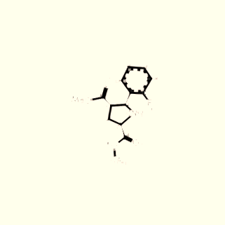 COC(=O)[C@@H]1C[C@H](C(=O)OC(C)(C)C)N[C@@H]1c1ccccc1F